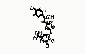 NC(=O)c1cn(Cc2nc(C[C@H](O)c3ccc(Cl)cc3)no2)c(=O)c(Cl)n1